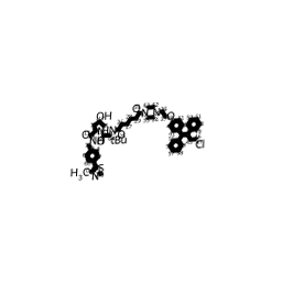 Cc1ncsc1-c1ccc(CNC(=O)C2CC(O)CN2C(=O)[C@@H](NC(=O)CCCCC(=O)N2CCN(CCOc3ccc(/C(=C(/CCCl)c4ccccc4)c4ccccc4)cc3)CC2)C(C)(C)C)cc1